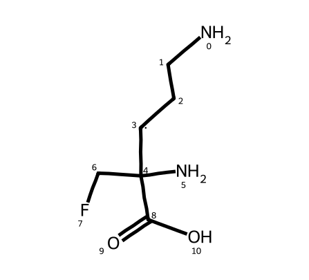 NCC[CH]C(N)(CF)C(=O)O